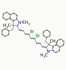 CN1/C(=C/C=C/C(Br)=C/C(Br)=C/C=C/C2=[N+](C)c3ccc4ccccc4c3C2(C)Cc2ccccc2)C(C)(Cc2ccccc2)c2c1ccc1ccccc21